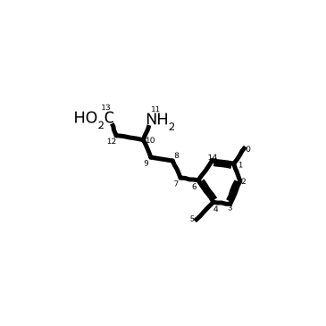 Cc1ccc(C)c(CCCC(N)CC(=O)O)c1